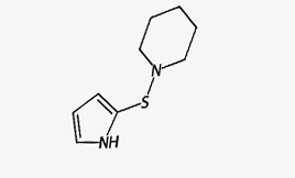 c1c[nH]c(SN2CCCCC2)c1